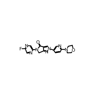 O=C1c2cn(-c3ccc(N4CCOCC4)nc3)nc2CN1c1cnc(F)cn1